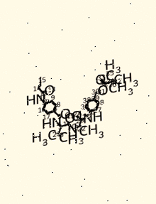 CC(C)[C@H](NC(=O)c1ccc(NC(=O)CI)cc1)C(=O)N[C@@H](C)C(=O)Nc1ccc(COC(=O)C(C)(C)C)cc1